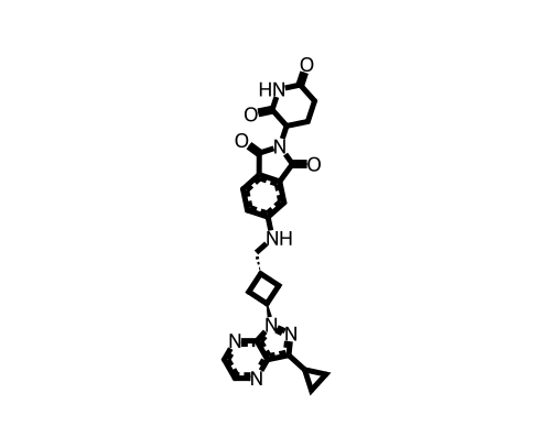 O=C1CCC(N2C(=O)c3ccc(NC[C@H]4C[C@H](n5nc(C6CC6)c6nccnc65)C4)cc3C2=O)C(=O)N1